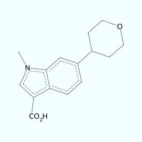 Cn1cc(C(=O)O)c2ccc(C3CCOCC3)cc21